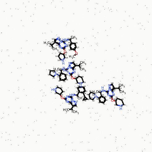 CC(C)c1cnn2c(NC(C)c3ccccc3C3CC3)nc(OC3CCCNC3)nc12.CC(C)c1cnn2c(NC(C)c3ccccc3N3CCCC3)nc(OC3CCCNC3)nc12.CC(C)c1cnn2c(NC(C)c3ccccc3N3CCCCC3)nc(OC3CCCNC3)nc12.COc1ccc(C(C)Nc2nc(OC3CCCNC3)nc3c(C(C)C)cnn23)cc1